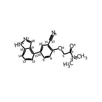 CN(C)C(=O)COc1ccc(-c2cccc3[nH]ncc23)cc1C#N